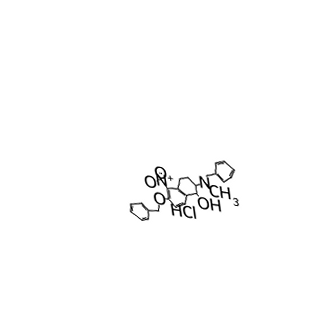 CN(Cc1ccccc1)C1CCc2c(ccc(OCc3ccccc3)c2[N+](=O)[O-])C1O.Cl